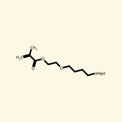 C=C(C)C(=O)OCCOCCCCCCCCCCC